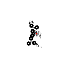 CCc1ccc(N(c2ccccc2)c2ccc3c(c2)C([Si](C)(C)C)([Si](C)(C)C)c2cc4cc(N(c5ccccc5)c5ccc(CC)cc5)ccc4cc2-3)cc1